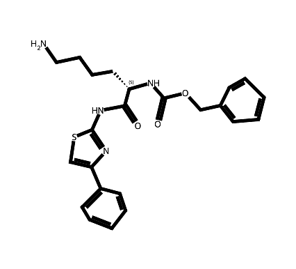 NCCCC[C@H](NC(=O)OCc1ccccc1)C(=O)Nc1nc(-c2ccccc2)cs1